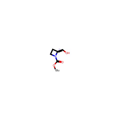 CC(C)(C)OC(=O)N1CC/C1=C/O